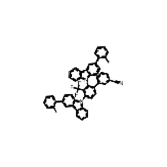 Cc1ccccc1-c1ccc2c(c1)c1ccccc1n2-c1ccc(-c2cccc(C#N)c2)c(-n2c3ccccc3c3cc(-c4ccccc4C)ccc32)c1C(F)(F)F